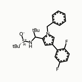 CC(C)(C)C(N[S@@+]([O-])C(C)(C)C)c1cc(-c2cc(F)ccc2F)cn1Cc1ccccc1